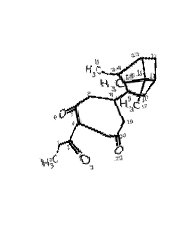 CCC(=O)C1C(=O)CC(C2CC3CC(C2C)C3(C)C)CC1=O